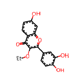 CCOc1c(-c2ccc(O)c(O)c2)oc2cc(O)ccc2c1=O